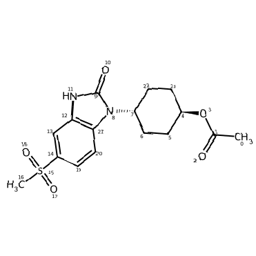 CC(=O)O[C@H]1CC[C@H](n2c(=O)[nH]c3cc(S(C)(=O)=O)ccc32)CC1